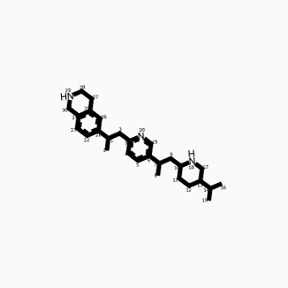 CC(Cc1ccc(C(C)CC2CCC(C(C)C)CN2)cn1)c1ccc2c(c1)CCNC2